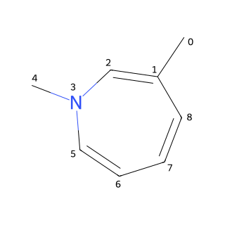 CC1=CN(C)C=CC=C1